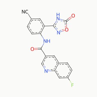 N#Cc1ccc(NC(=O)c2cnc3cc(F)ccc3c2)c(-c2noc(=O)[nH]2)c1